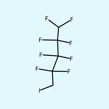 FC(F)C(F)(F)C(F)(F)C(F)(F)CI